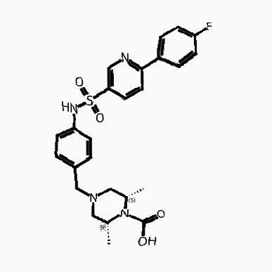 C[C@@H]1CN(Cc2ccc(NS(=O)(=O)c3ccc(-c4ccc(F)cc4)nc3)cc2)C[C@H](C)N1C(=O)O